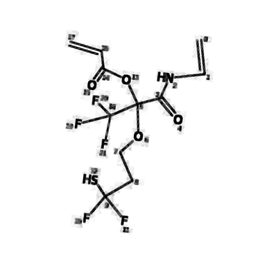 C=CNC(=O)C(OCCC(F)(F)S)(OC(=O)C=C)C(F)(F)F